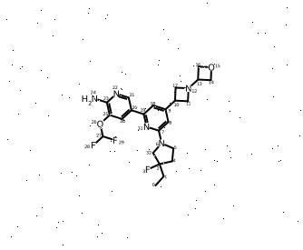 CCC1(F)CCN(c2cc(C3CN(C4COC4)C3)cc(-c3cnc(N)c(OC(F)F)c3)n2)C1